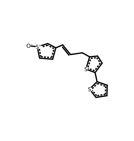 [O-][s+]1ccc(C=CCc2ccc(-c3cccs3)s2)c1